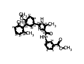 COC(=O)c1cccc(NC(=O)c2nc(-c3ccc(OC)c(-c4c(C)cccc4C)c3)[nH]c2C)c1